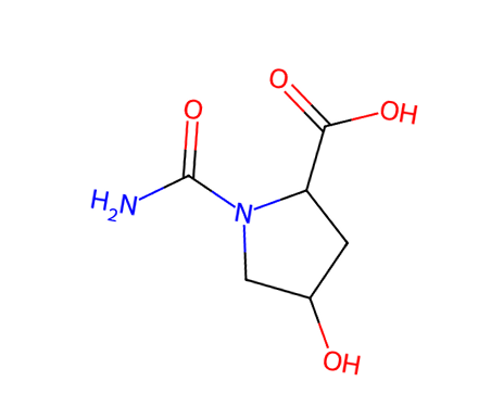 NC(=O)N1CC(O)CC1C(=O)O